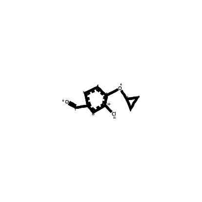 O=Cc1ccc(OC2CC2)c(Cl)c1